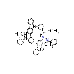 CCCC(/N=C(\C=C(/C)c1ccccc1)c1ccc2c3c(oc2c1)C=CCC3)c1cccc(-n2c3ccccc3c3cc(CC)c(-c4ccccc4Nc4ccccc4)cc32)c1